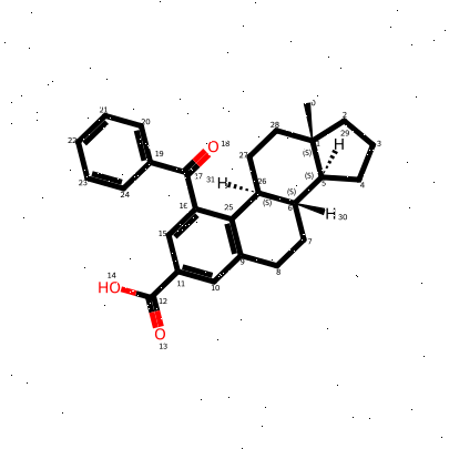 C[C@@]12CCC[C@H]1[C@@H]1CCc3cc(C(=O)O)cc(C(=O)c4ccccc4)c3[C@H]1CC2